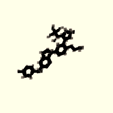 Cc1ccc(Nc2ccc3c(c2)ncn3-c2ccc(CCO)c(-c3c[nH]nc3[C@H](C)C(F)(F)F)n2)nn1